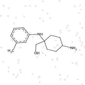 Cc1cccc(NC2(CO)CCC(N)CC2)c1